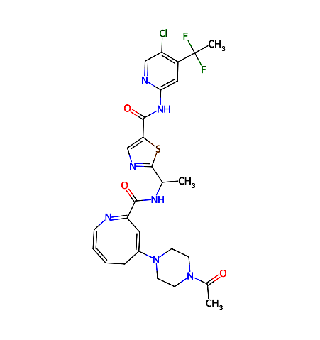 CC(=O)N1CCN(/C2=C/C(C(=O)NC(C)c3ncc(C(=O)Nc4cc(C(C)(F)F)c(Cl)cn4)s3)=N\C=C=CC2)CC1